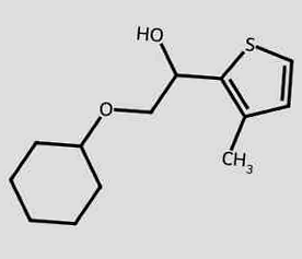 Cc1ccsc1C(O)COC1CCCCC1